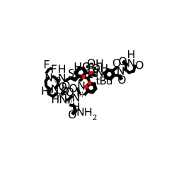 CC(C)(C)c1ccc(C[C@H](NC(=O)[C@H](CCC(N)=O)NC(=O)[C@@H]2CC[C@@H]3CCN(CC(F)F)C[C@H](NC(=O)c4cc5cc(C(F)(F)P(=O)(O)O)ccc5s4)C(=O)N32)C(=O)N2CCC(CCNc3ccc4c(c3)C(=O)N(C3CCC(=O)NC3=O)C4=O)CC2)cc1